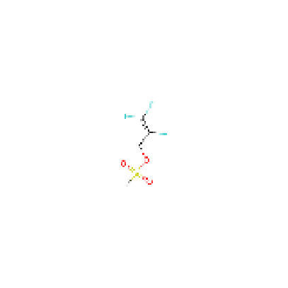 CS(=O)(=O)OCC(F)=C(F)F